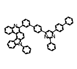 c1ccc(-c2ccc(-c3cc(-c4ccc(-c5cccc(-c6nc7ccccc7c7c6ccc6c7c7ccccc7n6-c6ccccc6)c5)cc4)nc(-c4ccccc4)n3)cc2)cc1